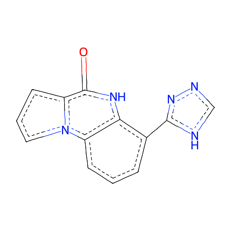 O=c1[nH]c2c(-c3nnc[nH]3)cccc2n2cccc12